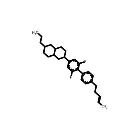 C/C=C/CCc1ccc(-c2c(F)cc(C3CCC4CC(CCC)CCC4C3)cc2F)cc1